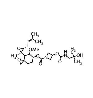 COC1C(OC(=O)N2CC(OC(=O)NCC(C)(C)O)C2)CCC2(CO2)C1[C@@]1(C)O[C@@H]1CC=C(C)C